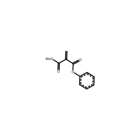 C=C(C(=O)OC)C(=O)Oc1ccccc1